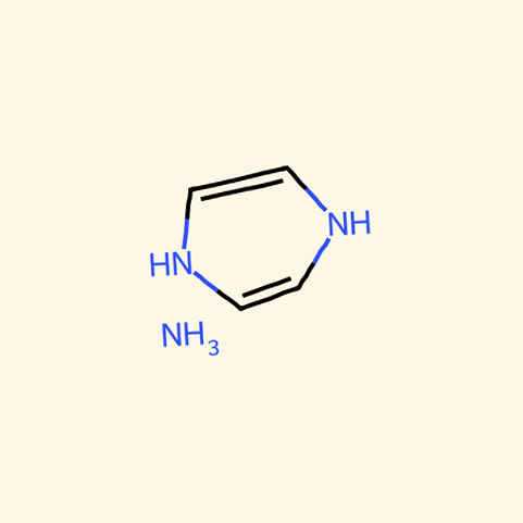 C1=CNC=CN1.N